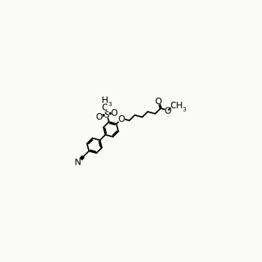 COC(=O)CCCCCOc1ccc(-c2ccc(C#N)cc2)cc1S(C)(=O)=O